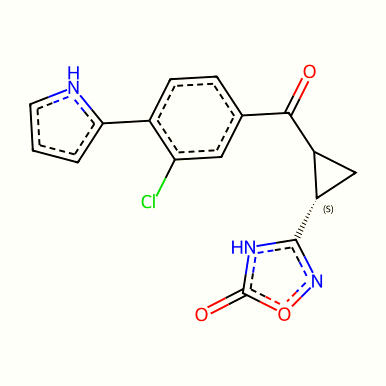 O=C(c1ccc(-c2ccc[nH]2)c(Cl)c1)C1C[C@@H]1c1noc(=O)[nH]1